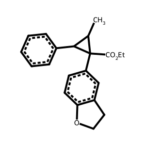 CCOC(=O)C1(c2ccc3c(c2)CCO3)C(C)C1c1ccccc1